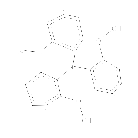 COc1ccccc1[Si](c1ccccc1OC)c1ccccc1OC